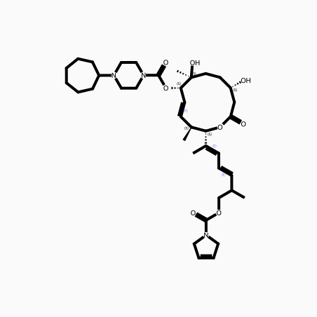 C/C(=C\C=C\C(C)COC(=O)N1CC=CC1)[C@H]1OC(=O)C[C@@H](O)CC[C@](C)(O)[C@@H](OC(=O)N2CCN(C3CCCCCC3)CC2)/C=C/[C@@H]1C